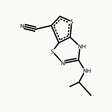 CC(C)NC1=NSc2c(C#N)csc2N1